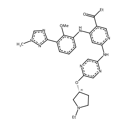 CCC(=O)c1cnc(Nc2cnc(O[C@@H]3CCN(CC)C3)cn2)cc1Nc1cccc(-c2ncn(C)n2)c1OC